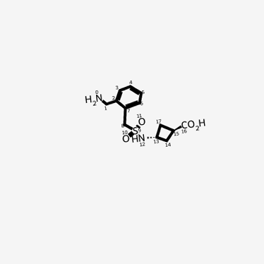 NCc1ccccc1CS(=O)(=O)N[C@H]1C[C@H](C(=O)O)C1